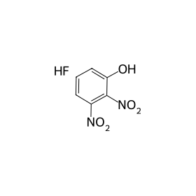 F.O=[N+]([O-])c1cccc(O)c1[N+](=O)[O-]